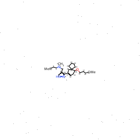 CNCCN(C)Cc1c[nH]nc1C1=CCC(OCCCOC)C2(CCCC2)C1